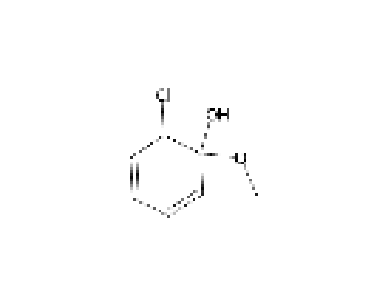 COC1(O)C=CC=CC1Cl